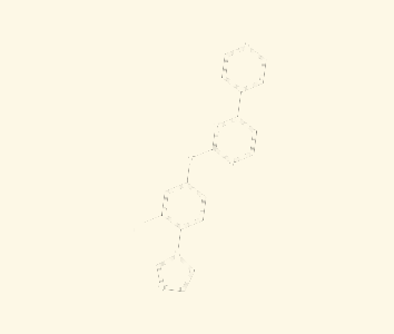 FC(F)(F)c1cc(Nc2nccc(-c3ccncc3)n2)ccc1-n1ccnc1